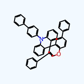 c1ccc(-c2ccc(N3c4ccccc4C4(c5cc(-c6ccccc6)ccc5Oc5ccc(-c6ccccc6)cc54)c4ccccc43)cc2)cc1